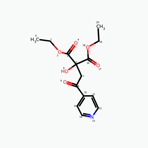 CCOC(=O)C(O)(CC(=O)c1ccncc1)C(=O)OCC